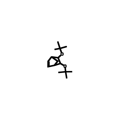 CC(C)(C)OC1C2C=CC(C2)C1OC(C)(C)C